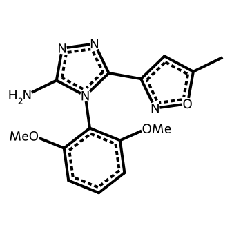 COc1cccc(OC)c1-n1c(N)nnc1-c1cc(C)on1